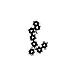 Cn1c2ccc3ccccc3c2c2cccc(-c3ccc(-c4ccc(N(c5ccccc5)c5cccc(-c6ccccc6)c5)cc4)cc3)c21